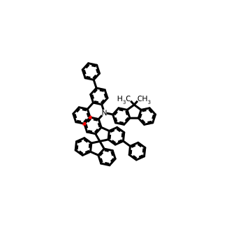 CC1(C)c2ccccc2-c2ccc(N(c3ccc(-c4ccccc4)cc3-c3ccccc3)c3cccc4c3-c3ccc(-c5ccccc5)cc3C43c4ccccc4-c4ccccc43)cc21